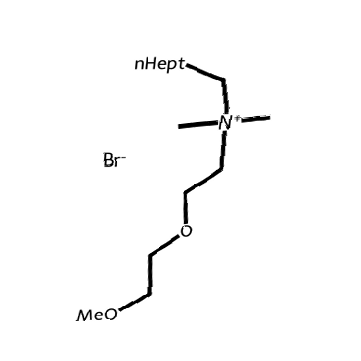 CCCCCCCC[N+](C)(C)CCOCCOC.[Br-]